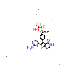 COc1ccc(-c2c3c(n(C)c2-c2ccnc(N)n2)CCNC3=O)cc1.O=C(O)C(F)(F)F